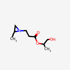 CC(CO)OC(=O)CCN1CC1C